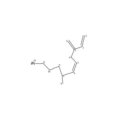 C=CC(=C)C/C=C\C(C)CCCC(C)C